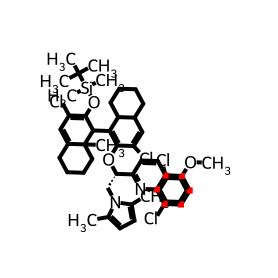 COc1ccccc1/C=C\C(=N/c1c(Cl)cccc1Cl)[C@H](Cn1c(C)ccc1C)OC1=C(C2C(O[Si](C)(C)C(C)(C)C)=C(Cl)C=C3CCCCC32C)C2CCCCC2C=C1Cl